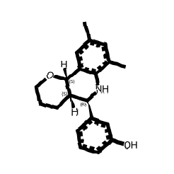 Cc1cc(C)c2c(c1)[C@H]1OCCC[C@H]1[C@H](c1cccc(O)c1)N2